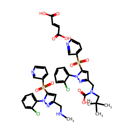 CC(C)(C)CN(Cc1cc(S(=O)(=O)c2cccnc2)n(-c2ccccc2Cl)n1)C(=O)O.CNCc1cc(S(=O)(=O)c2cccnc2)n(-c2ccccc2Cl)n1.O=C(O)C=CC(=O)O